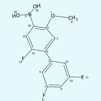 COc1cc(-c2cc(F)cc(F)c2)c(F)cc1B(O)O